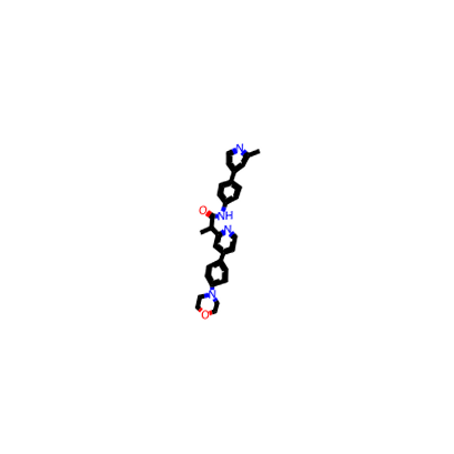 Cc1cc(-c2ccc(NC(=O)C(C)c3cc(-c4ccc(N5CCOCC5)cc4)ccn3)cc2)ccn1